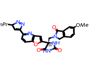 CCCC1C=C(c2ccc3oc([C@]4(CN5Cc6ccc(OC)cc6C5=O)NC(=O)NC4=O)cc3n2)N=N1